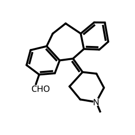 CN1CCC(=C2c3ccccc3CCc3ccc(C=O)cc32)CC1